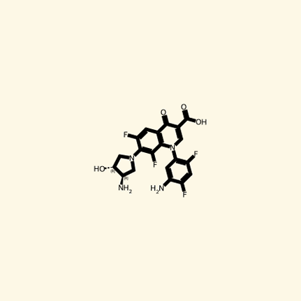 Nc1cc(-n2cc(C(=O)O)c(=O)c3cc(F)c(N4C[C@@H](N)[C@H](O)C4)c(F)c32)c(F)cc1F